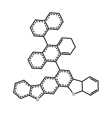 C1=CC2Oc3c(cc(-c4c5c(c(-c6cccc7ccccc67)c6ccccc46)=CCCC=5)c4cc5c(cc34)oc3ccccc35)C2C=C1